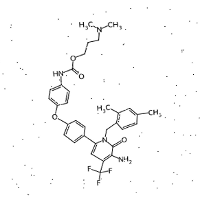 Cc1ccc(Cn2c(-c3ccc(Oc4ccc(NC(=O)OCCCN(C)C)cc4)cc3)cc(C(F)(F)F)c(N)c2=O)c(C)c1